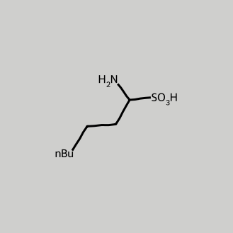 CCCCCCC(N)S(=O)(=O)O